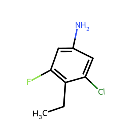 CCc1c(F)cc(N)cc1Cl